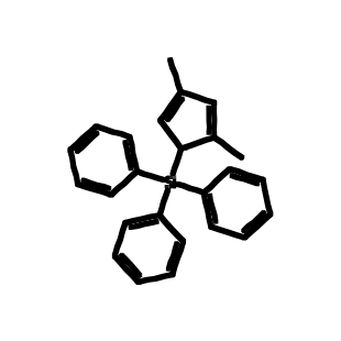 CC1=C[C]([Si](c2ccccc2)(c2ccccc2)c2ccccc2)C(C)=C1